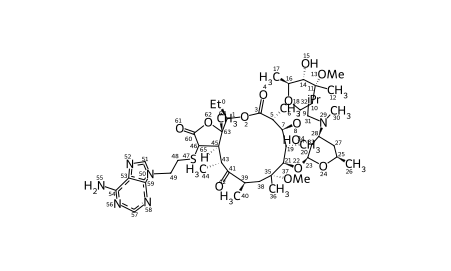 CC[C@H]1OC(=O)[C@H](C)[C@@H](O[C@H]2C[C@@](C)(OC)[C@@H](O)[C@H](C)O2)[C@H](C)[C@@H](O[C@@H]2O[C@H](C)C[C@H](N(C)CC(C)C)[C@H]2O)[C@](C)(OC)C[C@@H](C)C(=O)[C@H](C)[C@H]2C(SCCn3cnc4c(N)ncnc43)C(=O)O[C@@]21C